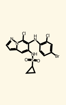 O=S(=O)(Nc1cc2ccnn2c(Cl)c1Nc1ccc(Br)cc1Cl)C1CC1